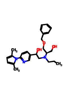 CCCN(C[C@H](O)c1ccc(-n2c(C)ccc2C)nc1)[C@H](CO)COCc1ccccc1